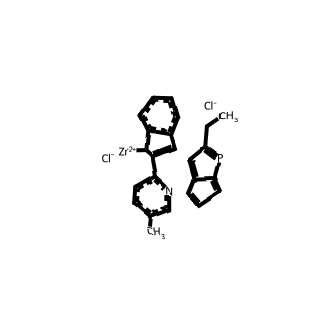 CCC1=PC2=CC=CC2=C1.Cc1ccc(C2=Cc3ccccc3[CH]2[Zr+2])nc1.[Cl-].[Cl-]